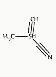 C#[SH](C)C#N